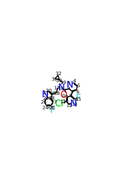 O=C(c1ncccc1-c1cc(Cl)cnc1F)N(CCC1=CN=C2CC=C(F)C=C12)CC1CC1